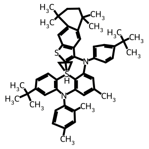 Cc1ccc(N2c3cc(C(C)(C)C)ccc3[SH]34(CC3)c3sc5cc6c(cc5c3N(c3ccc(C(C)(C)C)cc3)c3cc(C)cc2c34)C(C)(C)CCC6(C)C)c(C)c1